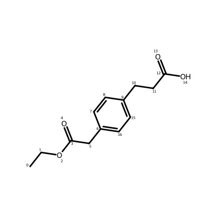 CCOC(=O)Cc1ccc(CCC(=O)O)cc1